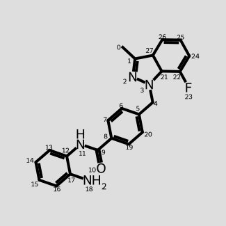 CC1=NN(Cc2ccc(C(=O)Nc3ccccc3N)cc2)C2C(F)=CC=CC12